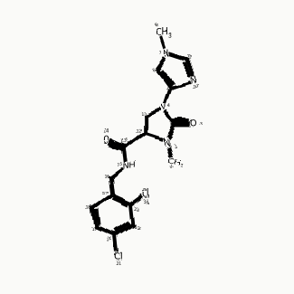 CN1C(=O)N(c2cn(C)cn2)CC1C(=O)NCc1ccc(Cl)cc1Cl